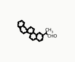 CC(C=O)c1ccc2ccc3c(ccc4c5ccccc5ccc43)c2c1